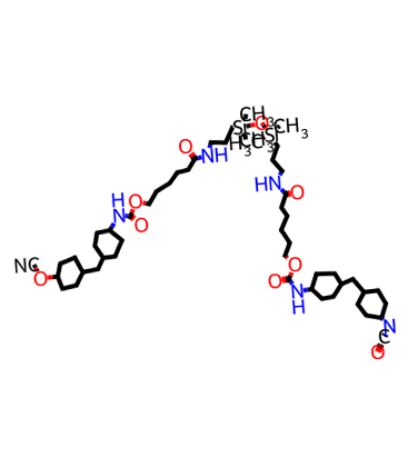 C[Si](C)(CCCNC(=O)CCCCCOC(=O)NC1CCC(CC2CCC(N=C=O)CC2)CC1)O[Si](C)(C)CCCNC(=O)CCCCCOC(=O)NC1CCC(CC2CCC(OC#N)CC2)CC1